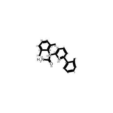 Cc1ccccc1-c1cccc(N(C(N)=O)c2c(C)cccc2C)n1